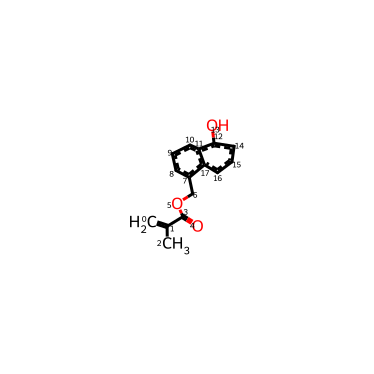 C=C(C)C(=O)OCc1cccc2c(O)cccc12